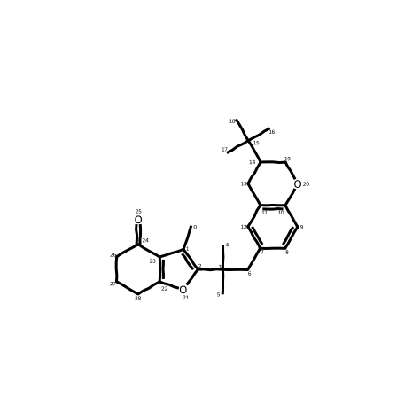 Cc1c(C(C)(C)Cc2ccc3c(c2)CC(C(C)(C)C)CO3)oc2c1C(=O)CCC2